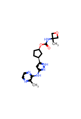 Cc1nccnc1Nc1cc([C@H]2CC[C@@H](OC(=O)NC3(C)COC3)C2)[nH]n1